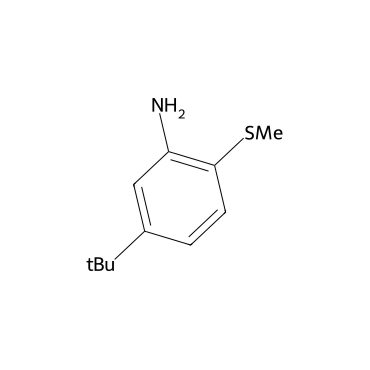 CSc1ccc(C(C)(C)C)cc1N